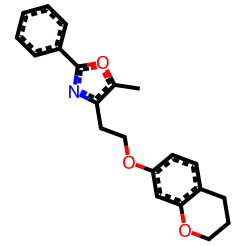 Cc1oc(-c2ccccc2)nc1CCOc1ccc2c(c1)OCCC2